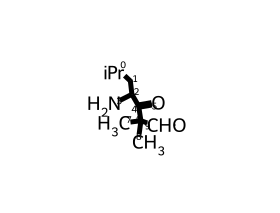 CC(C)CC(N)C(=O)C(C)(C)[C]=O